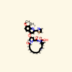 COc1ccc2c(OC3CC4C(=O)NC5(C(=O)O)CC5/C=C/CCCCCCC(=O)N4C3)cc(-c3nccs3)nc2c1C